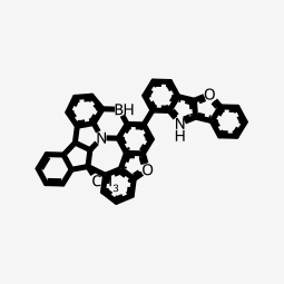 CC12c3cccc4oc5cc(-c6cccc7c6[nH]c6c8ccccc8oc76)c6c(c5c34)N3c4c(cccc4C(C4C=CC=CC41)C32)B6